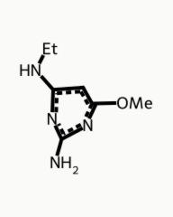 CCNc1cc(OC)nc(N)n1